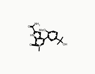 COc1ccc(C(C)(C)O)cc1-c1cn(C)c(=O)c2[nH]c(C(N)=O)cc12